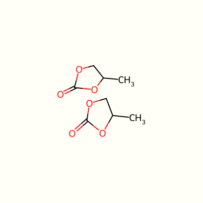 CC1COC(=O)O1.CC1COC(=O)O1